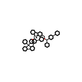 c1ccc(-c2ccc(C(CCc3ccc4c5ccccc5n(-c5ccc(-c6cccc7c6C(c6ccccc6)(c6ccccc6)c6ccccc6-7)cc5-c5ccccc5)c4c3)c3ccccc3)cc2)cc1